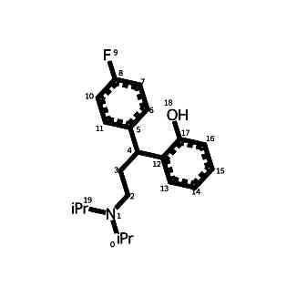 CC(C)N(CCC(c1ccc(F)cc1)c1ccccc1O)C(C)C